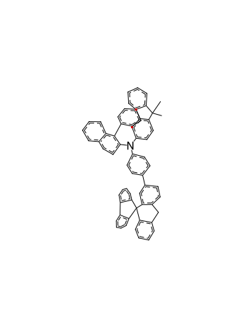 CC1(C)c2ccccc2-c2cc(N(c3ccc(-c4ccc5c(c4)C4(c6ccccc6C5)c5ccccc5-c5ccccc54)cc3)c3ccc4ccccc4c3-c3ccccc3)ccc21